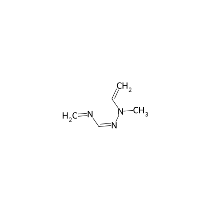 C=CN(C)/N=C\N=C